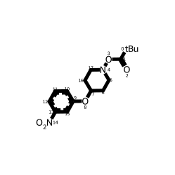 CC(C)(C)C(=O)ON1CCC(Oc2cccc([N+](=O)[O-])c2)CC1